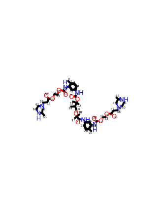 Cc1ccc(NC(=O)OC(C)(C)C(C)COC(C)(C)C(=O)Nc2ccc(C)c(NC(=O)OCCOC(=O)CCN3CCNC(C)C3)c2)cc1NC(=O)OCCOC(=O)CCN1CCNC(C)C1